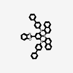 c1ccc(-c2ccc(N3c4cc(-c5nc6ccccc6o5)cc5c4B(c4ccc6ccccc6c43)c3ccc4ccccc4c3N5c3ccc(-c4ccccc4)cc3)cc2)cc1